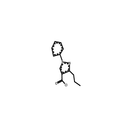 CCCc1nn(-c2ccccc2)cc1C(=O)Cl